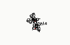 COP(Oc1cccc2c1OC(C)(C)C2)N(C1CCCC(C)(CN(P(Oc2cccc3c2OC(C)(C)C3)Oc2cccc3c2OC(C)(C)C3)S(=O)(=O)c2ccc(C)cc2)C1)S(=O)(=O)c1ccc(C)cc1